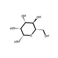 OC[C@@H]1O[C@H]([SeH])[C@H](O)[C@H](O)[C@H]1O